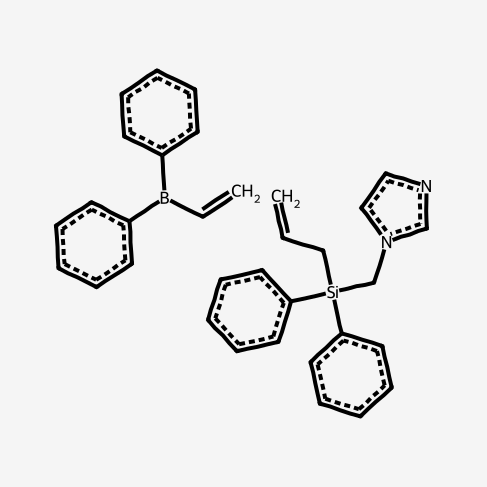 C=CB(c1ccccc1)c1ccccc1.C=CC[Si](Cn1ccnc1)(c1ccccc1)c1ccccc1